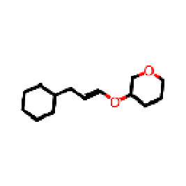 C(=COC1CCCOC1)CC1CCCCC1